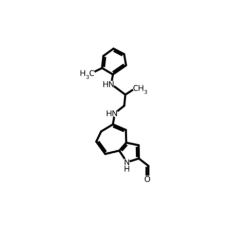 Cc1ccccc1NC(C)CNC1=Cc2cc(C=O)[nH]c2C=CC1